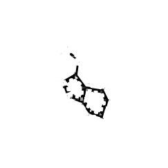 CCCNc1n[nH]c2cc[c]cc12